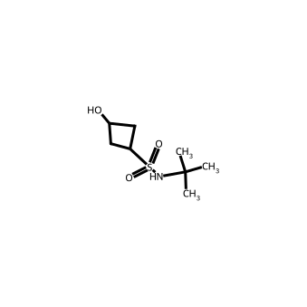 CC(C)(C)NS(=O)(=O)C1CC(O)C1